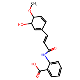 COC1C=CC(/C=C/C(=O)Nc2ccccc2C(=O)O)=CC1O